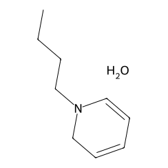 CCCCN1C=CC=CC1.O